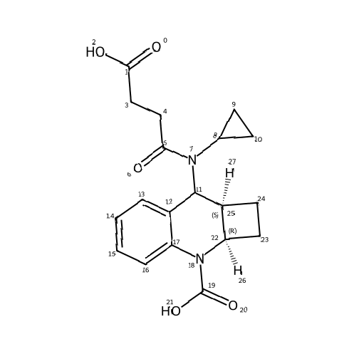 O=C(O)CCC(=O)N(C1CC1)C1c2ccccc2N(C(=O)O)[C@@H]2CC[C@H]12